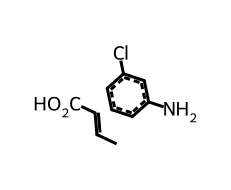 CC=CC(=O)O.Nc1cccc(Cl)c1